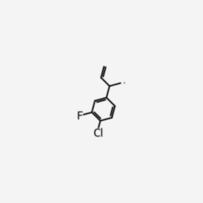 [CH2]C(C=C)c1ccc(Cl)c(F)c1